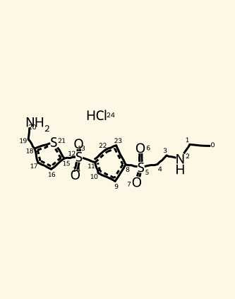 CCNCCS(=O)(=O)c1ccc(S(=O)(=O)c2ccc(CN)s2)cc1.Cl